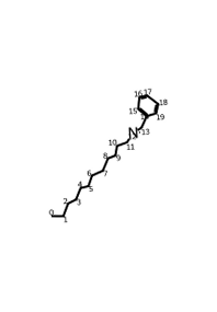 CCCCCCCCCCCC[N]Cc1ccccc1